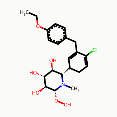 CCOc1ccc(CC2=CC([C@H]3[C@H](O)[C@@H](O)[C@H](O)[C@@H](OO)N3C)CC=C2Cl)cc1